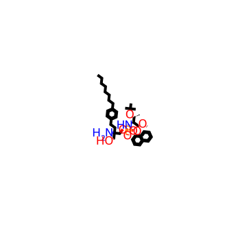 CCCCCCCCc1ccc(CCC(N)(CO)COP(=O)(N[C@H](C(=O)OC)[C@@H](C)OC(C)(C)C)Oc2cccc3ccccc23)cc1